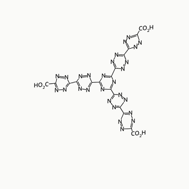 O=C(O)c1nnc(-c2nnc(-c3nc(-c4nnc(-c5nnc(C(=O)O)nn5)nn4)nc(-c4nnc(-c5nnc(C(=O)O)nn5)nn4)n3)nn2)nn1